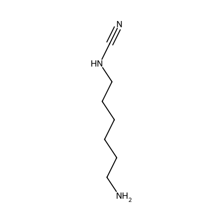 N#CNCCCCCCN